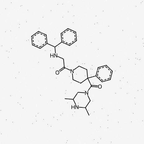 CC1CN(C(=O)C2(c3ccccc3)CCN(C(=O)CNC(c3ccccc3)c3ccccc3)CC2)CC(C)N1